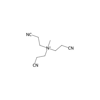 C[N+](CCC#N)(CCC#N)CCC#N